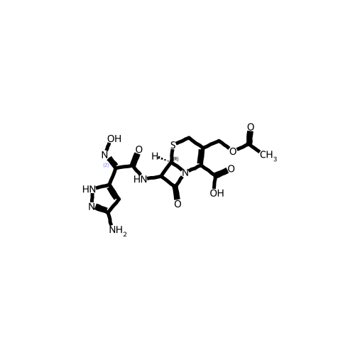 CC(=O)OCC1=C(C(=O)O)N2C(=O)C(NC(=O)/C(=N\O)c3cc(N)n[nH]3)[C@H]2SC1